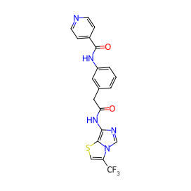 O=C(Cc1cccc(NC(=O)c2ccncc2)c1)Nc1ncn2c(C(F)(F)F)csc12